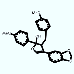 COc1ccc(CC2C(c3ccc4c(c3)OCO4)=COC2(O)c2ccc(OC)cc2)cc1